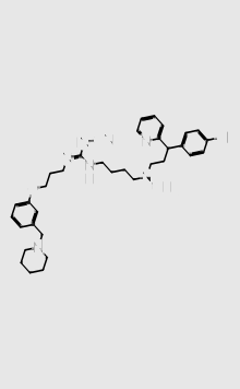 CN(CCCCN/C(=N\CCCOc1cccc(CN2CCCCC2)c1)NC#N)CCC(c1ccc(Cl)cc1)c1ccccn1